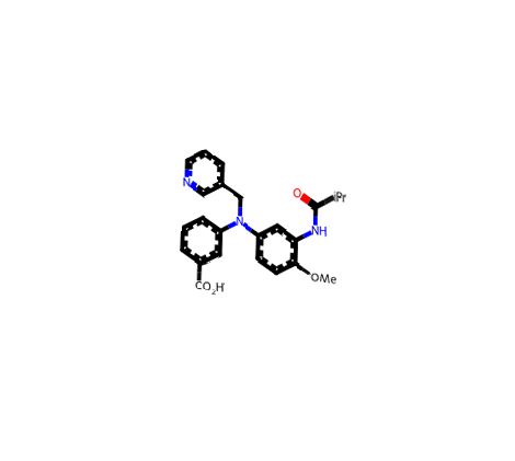 COc1ccc(N(Cc2cccnc2)c2cccc(C(=O)O)c2)cc1NC(=O)C(C)C